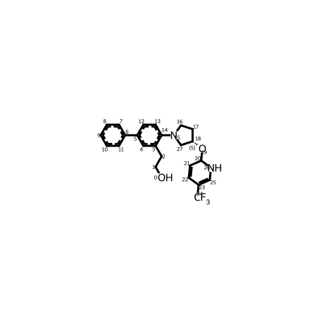 OCCc1cc(-c2ccccc2)ccc1N1CC[C@H](OC2C=CC(C(F)(F)F)=CN2)C1